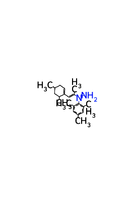 C/C(=C\C1=CC[C@H](C)CC1C)N(N)c1c(C)cc(C)cc1C